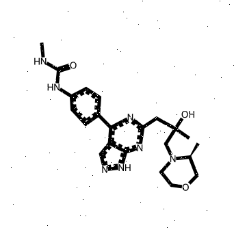 CNC(=O)Nc1ccc(-c2nc(CC(C)(O)CN3CCOC[C@@H]3C)nc3[nH]ncc23)cc1